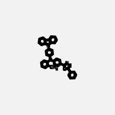 Cc1ccccc1N(c1ccc(-c2nnc(-c3ccccc3)o2)cc1)c1ccc(-n2c3ccccc3c3ccccc32)cc1